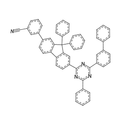 N#Cc1cccc(-c2ccc3c(c2)C(c2ccccc2)(c2ccccc2)c2cc(-c4nc(-c5ccccc5)nc(-c5cccc(-c6ccccc6)c5)n4)ccc2-3)c1